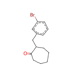 O=C1CCCCCC1Cc1cccc(Br)c1